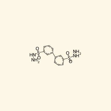 NNS(=O)(=O)c1cccc(-c2cccc(S(=O)(=O)NN)c2)c1